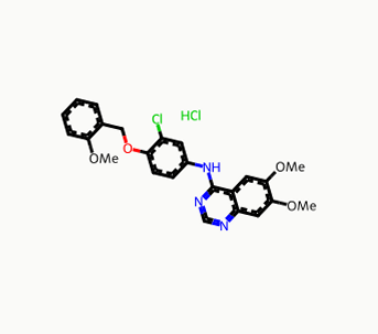 COc1ccccc1COc1ccc(Nc2ncnc3cc(OC)c(OC)cc23)cc1Cl.Cl